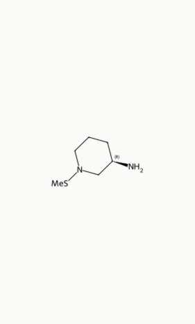 CSN1CCC[C@@H](N)C1